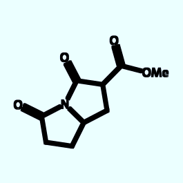 COC(=O)C1CC2CCC(=O)N2C1=O